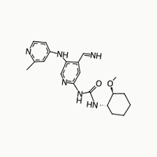 CO[C@H]1CCCC[C@@H]1NC(=O)Nc1cc(C=N)c(Nc2ccnc(C)c2)cn1